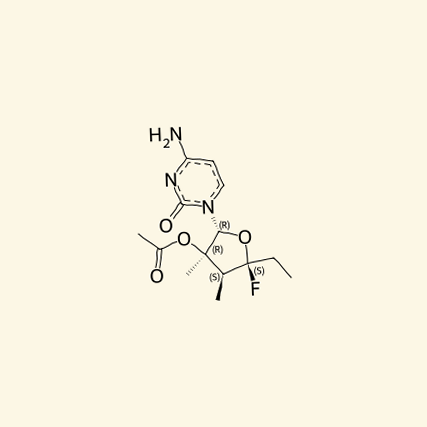 CC[C@@]1(F)O[C@@H](n2ccc(N)nc2=O)[C@](C)(OC(C)=O)[C@@H]1C